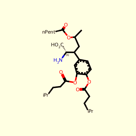 CCCCCC(=O)OC(C)CC(c1ccc(OC(=O)CCC(C)C)c(OC(=O)CCC(C)C)c1)[C@H](N)C(=O)O